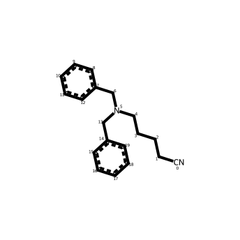 N#CCCCCN(Cc1ccccc1)Cc1ccccc1